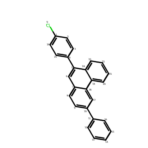 Clc1ccc(-c2cc3ccc(-c4ccccc4)cc3c3ccccc23)cc1